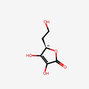 O=C1O[C@H](CCO)C(O)=C1O